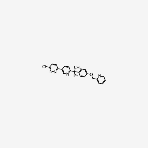 CC(C)C(C)(c1ccc(OCc2ccccn2)cc1)c1ccc(-c2ccc(Cl)nn2)cn1